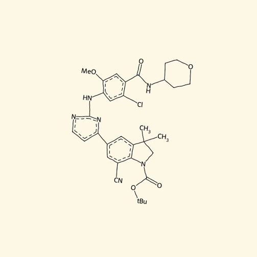 COc1cc(C(=O)NC2CCOCC2)c(Cl)cc1Nc1nccc(-c2cc(C#N)c3c(c2)C(C)(C)CN3C(=O)OC(C)(C)C)n1